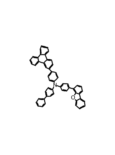 c1ccc(-c2ccc(N(c3ccc(-c4ccc5c6ccccc6c6ccccc6c5c4)cc3)c3ccc(-c4cccc5c4oc4ccccc45)cc3)cc2)cc1